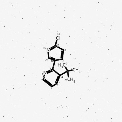 CC(C)(C)c1cccnc1-c1ccc(Cl)nc1